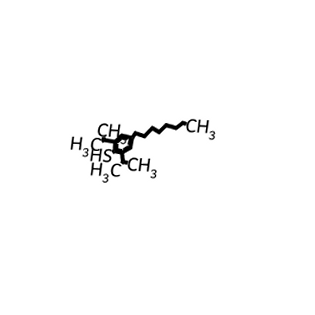 CCCCCCCCc1cc(C(C)C)c(S)c(C(C)C)c1